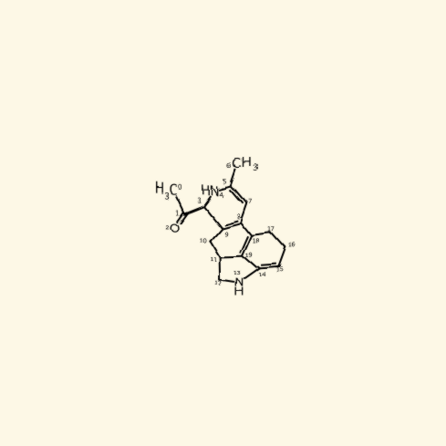 CC(=O)C1NC(C)=CC2=C1CC1CNC3=CCCC2=C31